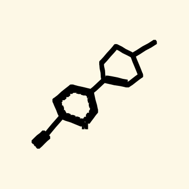 C#Cc1ccc(C2=CCC(C)CC2)cn1